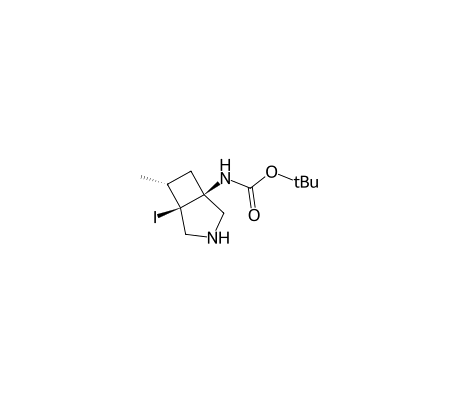 C[C@@H]1C[C@]2(NC(=O)OC(C)(C)C)CNC[C@]12I